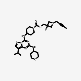 CC#CCN1CC(F)(COC(=O)N2CCC(Nc3nc(NC4CCOCC4)nc4c(C(C)C)cnn34)CC2)C1